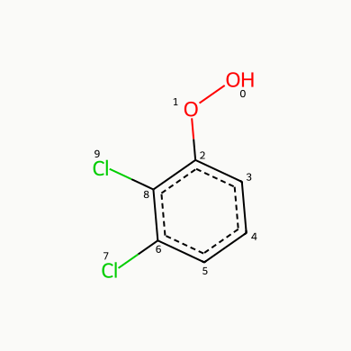 OOc1cccc(Cl)c1Cl